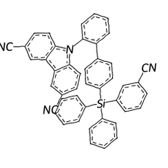 N#Cc1cccc([Si](c2ccccc2)(c2ccccc2)c2ccc(-c3ccccc3-n3c4ccc(C#N)cc4c4cc(C#N)ccc43)cc2)c1